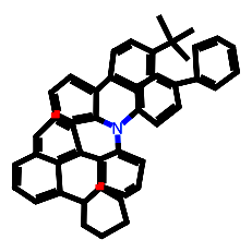 CC(C)(C)c1ccc(-c2ccccc2N(c2ccc(-c3ccccc3)cc2)c2ccccc2-c2cccc3cccc(C4CCCCC4)c23)cc1